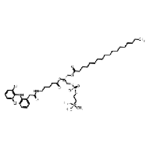 CCCCCCCCCCCCCCCCCC(=O)OC[C@H](COP(=O)([O-])OCC[N+](C)(C)C)OC(=O)CCCCNC(=O)Cc1ccccc1Nc1c(Cl)cccc1Cl